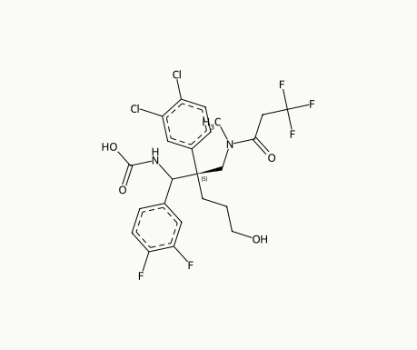 CN(C[C@](CCCO)(c1ccc(Cl)c(Cl)c1)C(NC(=O)O)c1ccc(F)c(F)c1)C(=O)CC(F)(F)F